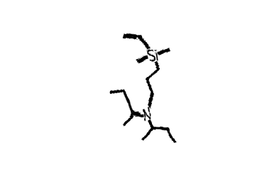 C=C[Si](C)(C)CCCN(C(C)CC)C(C)CC